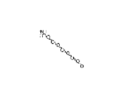 CNC(=O)CCOCCOCCOCCOCCOCCOCCOCCOC